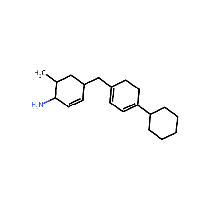 CC1CC(CC2=CC=C(C3CCCCC3)CC2)C=CC1N